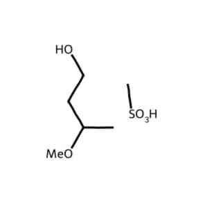 COC(C)CCO.CS(=O)(=O)O